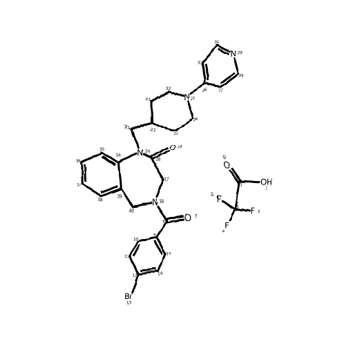 O=C(O)C(F)(F)F.O=C(c1ccc(Br)cc1)N1CC(=O)N(CC2CCN(c3ccncc3)CC2)c2ccccc2C1